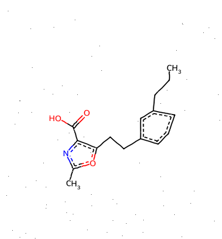 CCCc1cccc(CCc2oc(C)nc2C(=O)O)c1